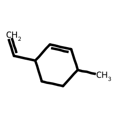 C=CC1C=CC(C)CC1